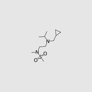 CC(C)N(CCN(C)S(C)(=O)=O)CC1CC1